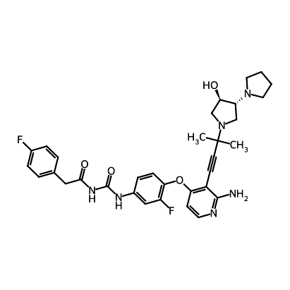 CC(C)(C#Cc1c(Oc2ccc(NC(=O)NC(=O)Cc3ccc(F)cc3)cc2F)ccnc1N)N1C[C@@H](O)[C@H](N2CCCC2)C1